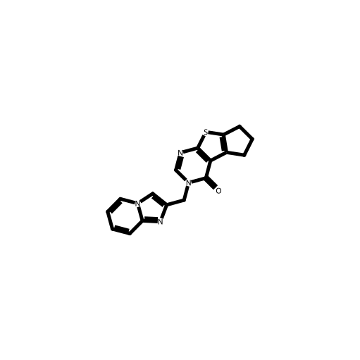 O=c1c2c3c(sc2ncn1Cc1cn2ccccc2n1)CCC3